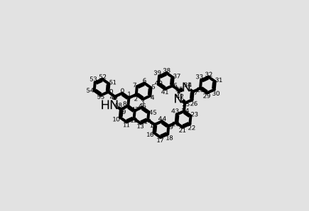 C1=C(c2ccccc2)c2c(ccc3cc(-c4cccc(-c5cccc(-c6cc(-c7ccccc7)nc(-c7ccccc7)n6)c5)c4)ccc23)NC1c1ccccc1